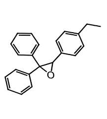 CCc1ccc(C2OC2(c2ccccc2)c2ccccc2)cc1